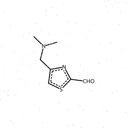 CN(C)Cc1csc(C=O)n1